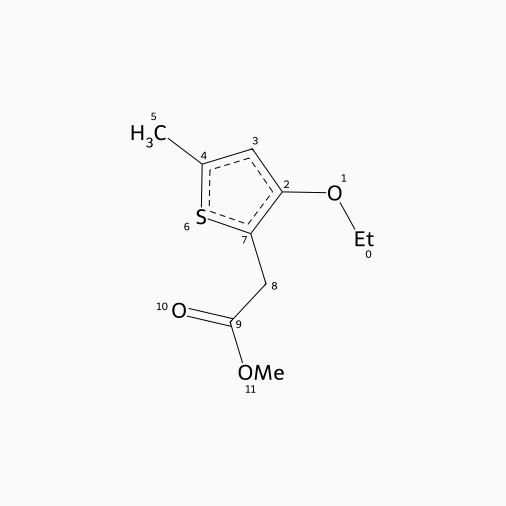 CCOc1cc(C)sc1CC(=O)OC